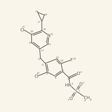 CS(=O)(=O)NC(=O)c1cc(Cl)c(Cc2cnc(C3CC3)c(Cl)c2)cc1F